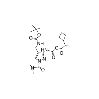 CC(C(=O)OC(=O)Nc1nn(C(=O)N(C)C)cc1CNC(=O)OC(C)(C)C)C1CCC1